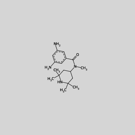 CN(C(=O)c1cc(N)cc(N)c1)C1CC(C)(C)NC(C)(C)C1